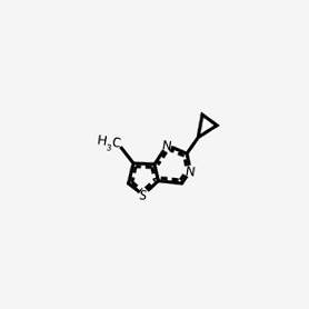 Cc1csc2cnc(C3CC3)nc12